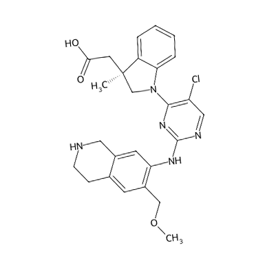 COCc1cc2c(cc1Nc1ncc(Cl)c(N3C[C@@](C)(CC(=O)O)c4ccccc43)n1)CNCC2